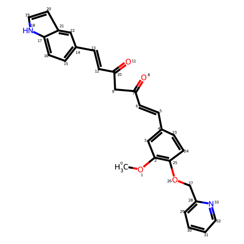 COc1cc(/C=C/C(=O)CC(=O)/C=C/c2ccc3[nH]ccc3c2)ccc1OCc1ccccn1